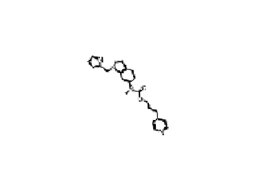 CN(C(=O)OCCCc1ccncc1)c1ccc2c(c1)N(CC1=CCC=N1)CC2